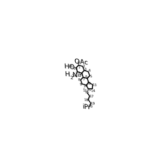 CC(=O)O[C@@H]1CC2CCC3C(CC[C@@]4(C)C3CC[C@@H]4CCCCC(C)C)[C@@]2(C)[C@@H](N)[C@@H]1O